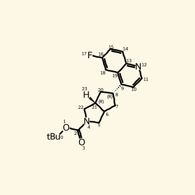 CC(C)(C)OC(=O)N1CC2C[C@@H](c3ccnc4ccc(F)cc34)C[C@H]2C1